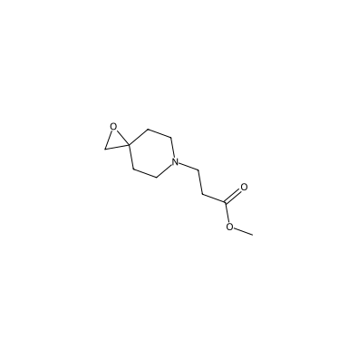 COC(=O)CCN1CCC2(CC1)CO2